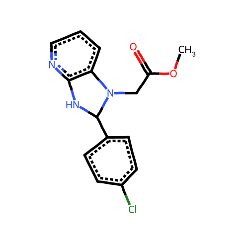 COC(=O)CN1c2cccnc2NC1c1ccc(Cl)cc1